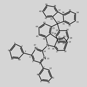 c1ccc(-c2cc(-c3ccccc3)nc(-n3c4ccccc4c4c(C5(c6ccccc6)c6ccccc6-c6ccccc65)cccc43)n2)cc1